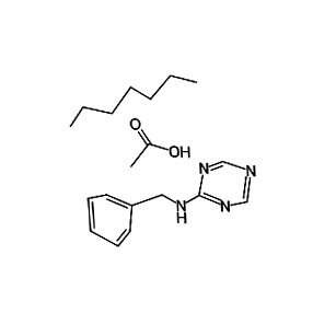 CC(=O)O.CCCCCCC.c1ccc(CNc2ncncn2)cc1